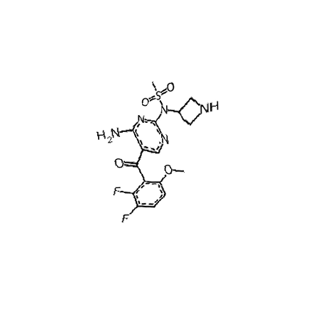 COc1ccc(F)c(F)c1C(=O)c1cnc(N(C2CNC2)S(C)(=O)=O)nc1N